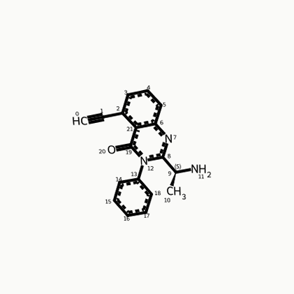 C#Cc1cccc2nc([C@H](C)N)n(-c3ccccc3)c(=O)c12